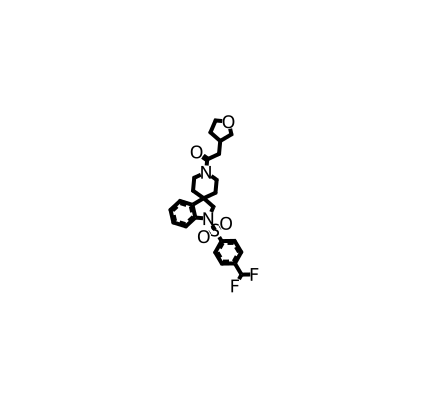 O=C(CC1CCOC1)N1CCC2(CC1)CN(S(=O)(=O)c1ccc(C(F)F)cc1)c1ccccc12